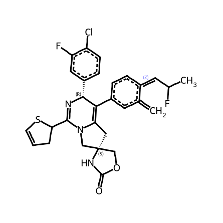 C=c1cc(C2=C3C[C@@]4(COC(=O)N4)CN3C(C3CC=CS3)=N[C@@H]2c2ccc(Cl)c(F)c2)cc/c1=C/C(C)F